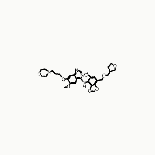 COc1cc2c(Nc3c(Cl)cc(COCC4CCOC4)c4c3OCO4)ncnc2cc1OCCCN1CCOCC1